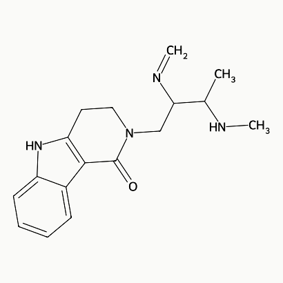 C=NC(CN1CCc2[nH]c3ccccc3c2C1=O)C(C)NC